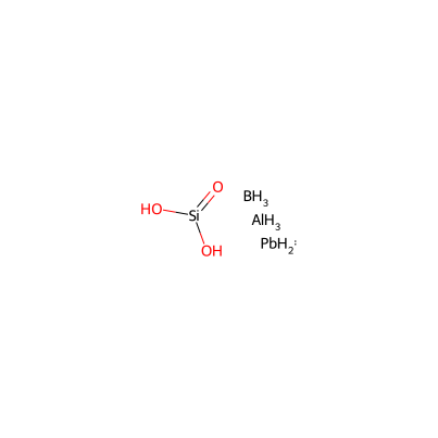 B.O=[Si](O)O.[AlH3].[PbH2]